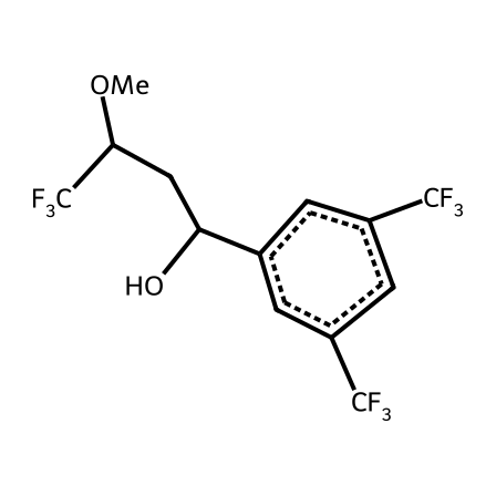 COC(CC(O)c1cc(C(F)(F)F)cc(C(F)(F)F)c1)C(F)(F)F